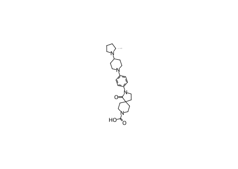 C[C@H]1CCCN1C1CCN(c2ccc(N3CCC4(CCN(C(=O)O)CC4)C3=O)cc2)CC1